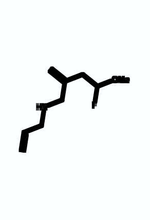 C=CCNCC(=C)CC(F)OC